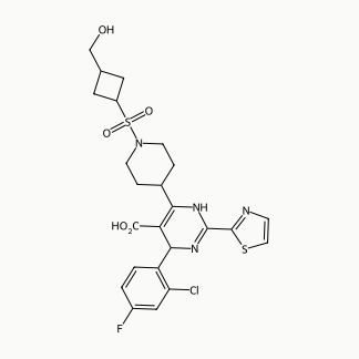 O=C(O)C1=C(C2CCN(S(=O)(=O)C3CC(CO)C3)CC2)NC(c2nccs2)=NC1c1ccc(F)cc1Cl